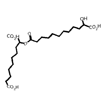 O=C(O)CCCCCCCC(OC(=O)CCCCCCCCCC(O)C(=O)O)C(=O)O